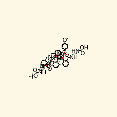 COc1ccc(CN(Cc2ccc(OC)cc2)S(=O)(=O)c2c(S(=O)(=O)NCCNC(=O)OC(C)(C)C)ccc(-c3cccc(C(=O)NCCNC(=O)O)c3N)c2-c2nnn(Cc3ccc(OC)cc3)n2)cc1